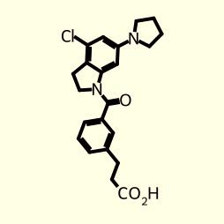 O=C(O)CCc1cccc(C(=O)N2CCc3c(Cl)cc(N4CCCC4)cc32)c1